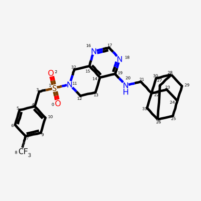 O=S(=O)(Cc1ccc(C(F)(F)F)cc1)N1CCc2c(ncnc2NCC23CC4CC(CC(C4)C2)C3)C1